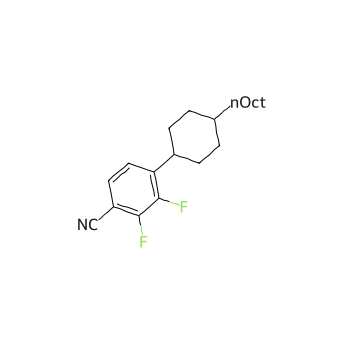 CCCCCCCCC1CCC(c2ccc(C#N)c(F)c2F)CC1